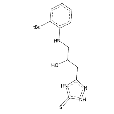 CC(C)(C)c1ccccc1NCC(O)Cc1n[nH]c(=S)[nH]1